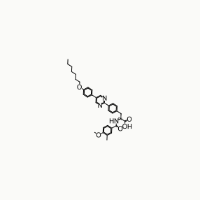 CCCCCCCOc1ccc(-c2cnc(-c3ccc(C[C@H](NC(=O)c4ccc(OC)c(C)c4)C(=O)O)cc3)nc2)cc1